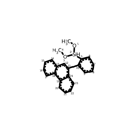 CO[SiH](OC)c1ccccc1-c1cc2ccccc2c2ccccc12